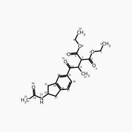 CCOC(=O)C(C(=O)OCC)C(C)C(=O)c1ccc2c(c1)CC(NC(C)=O)C2